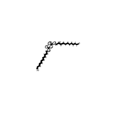 CCCCCCCCCCCCOC(=O)OC(=O)OCCCCCCCCCCCC